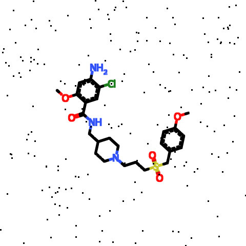 COc1ccc(CS(=O)(=O)CCCN2CCC(CNC(=O)c3cc(Cl)c(N)cc3OC)CC2)cc1